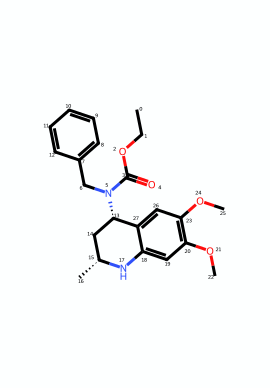 CCOC(=O)N(Cc1ccccc1)[C@H]1C[C@@H](C)Nc2cc(OC)c(OC)cc21